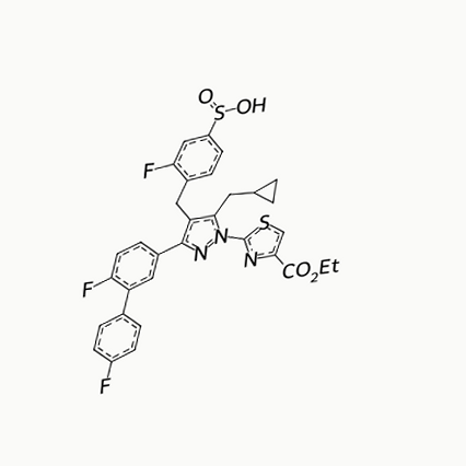 CCOC(=O)c1csc(-n2nc(-c3ccc(F)c(-c4ccc(F)cc4)c3)c(Cc3ccc(S(=O)O)cc3F)c2CC2CC2)n1